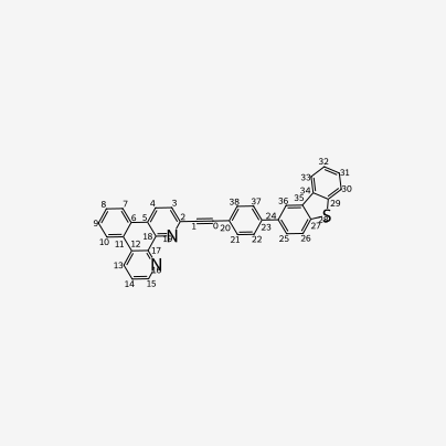 C(#Cc1ccc2c3ccccc3c3cccnc3c2n1)c1ccc(-c2ccc3sc4ccccc4c3c2)cc1